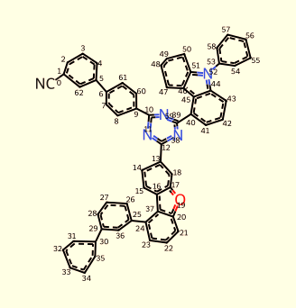 N#Cc1cccc(-c2ccc(-c3nc(-c4ccc5c(c4)oc4cccc(-c6cccc(-c7ccccc7)c6)c45)nc(-c4cccc5c4c4ccccc4n5-c4ccccc4)n3)cc2)c1